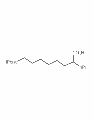 CCCC(C)CCCCCCC(CCC)C(=O)O